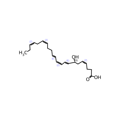 CC/C=C\C/C=C\CC/C=C/C=C\C=C\[C@@H](O)C/C=C\CCC(=O)O